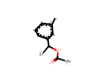 CCCCC(=O)OC(CC)c1cccc(C)c1